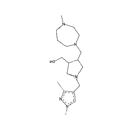 Cc1nn(C)cc1CN1CC(CO)C(CN2CCCN(C)CC2)C1